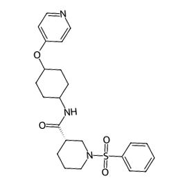 O=C(NC1CCC(Oc2ccncc2)CC1)[C@H]1CCCN(S(=O)(=O)c2ccccc2)C1